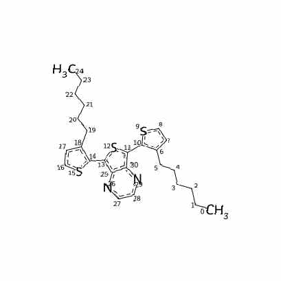 CCCCCCc1ccsc1-c1sc(-c2sccc2CCCCCC)c2nccnc12